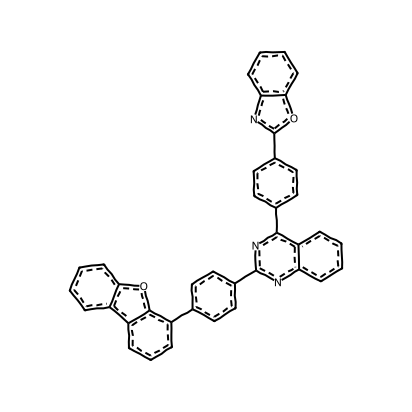 c1ccc2oc(-c3ccc(-c4nc(-c5ccc(-c6cccc7c6oc6ccccc67)cc5)nc5ccccc45)cc3)nc2c1